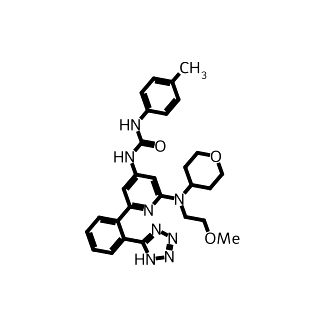 COCCN(c1cc(NC(=O)Nc2ccc(C)cc2)cc(-c2ccccc2-c2nnn[nH]2)n1)C1CCOCC1